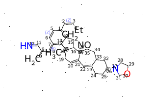 C=C(/C=C\CC)/C=C\C(=C/C(=C)C=N)[C@H]1CCC2[C@]1(C)CC=C1C=C3CC[C@@H](N4CCOC4)CC3CC[C@@]12N=O